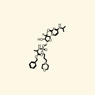 CC(C)Nc1ccn([C@@H]2O[C@H](COP(=O)(NC(C)C(=O)OCc3ccccc3)OCCCN3CCOCC3)[C@@H](O)C2(F)F)c(=O)n1